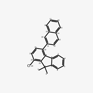 CC1(C)c2ccccc2-c2c(-c3ccc4ccccc4c3)ccc(Cl)c21